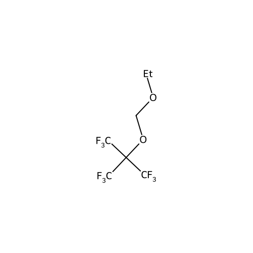 CCOCOC(C(F)(F)F)(C(F)(F)F)C(F)(F)F